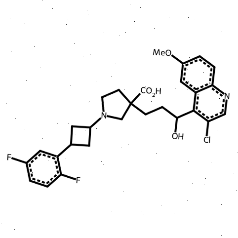 COc1ccc2ncc(Cl)c(C(O)CCC3(C(=O)O)CCN(C4CC(c5cc(F)ccc5F)C4)C3)c2c1